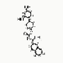 C[C@H](NC(=O)ON1CCC(c2ccc(O)cc2O)CC1)c1ccc2ccccc2c1